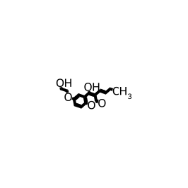 CCC=Cc1c(O)c2cc(OCCO)ccc2oc1=O